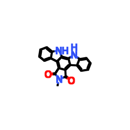 CN1C(=O)c2c(c3c4ccccc4[nH]c3c3[nH]c4ccccc4c23)C1=O